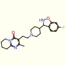 Cc1nc2n(c(=O)c1CCN1CCC(C3NOc4cc(F)ccc43)CC1)CCCC2